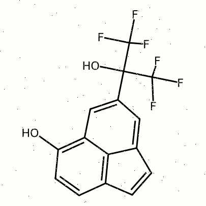 Oc1ccc2c3c(cc(C(O)(C(F)(F)F)C(F)(F)F)cc13)C=C2